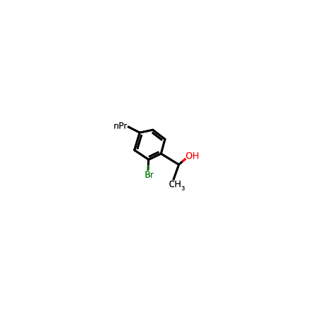 CCCc1ccc(C(C)O)c(Br)c1